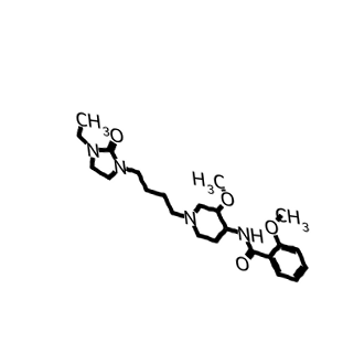 CCN1CCN(CCCCN2CCC(NC(=O)c3ccccc3OC)C(OC)C2)C1=O